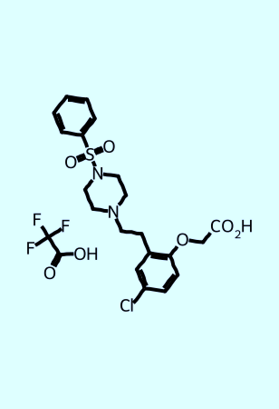 O=C(O)C(F)(F)F.O=C(O)COc1ccc(Cl)cc1CCN1CCN(S(=O)(=O)c2ccccc2)CC1